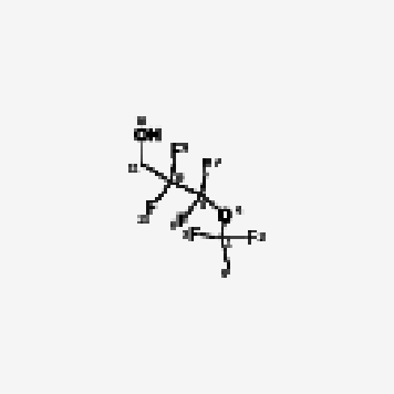 CC(F)(F)OC(F)(F)C(F)(F)CO